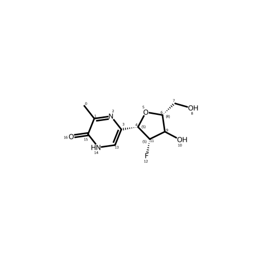 Cc1nc([C@@H]2O[C@H](CO)C(O)[C@@H]2F)c[nH]c1=O